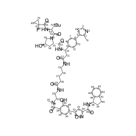 Cc1ncsc1-c1ccc(C(CC(=O)NCCCCC(=O)NCCN(C)C(=O)c2ccc(-c3cc(C(=O)N[C@@H]4CCc5ccccc54)no3)cc2O)NC(=O)[C@@H]2C[C@@H](O)CN2C(=O)C(NC(=O)C2(F)CC2)C(C)(C)C)cc1